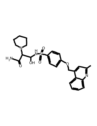 Cc1cc(COc2ccc(S(=O)(=O)NC(O)C(C(N)=O)N3CCCCC3)cc2)c2ccccc2n1